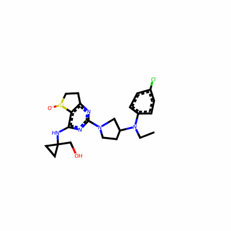 CCN(c1ccc(Cl)cc1)C1CCN(c2nc3c(c(NC4(CO)CC4)n2)[S+]([O-])CC3)C1